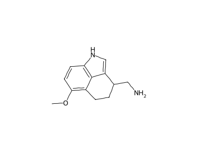 COc1ccc2[nH]cc3c2c1CCC3CN